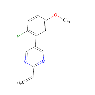 C=Cc1ncc(-c2cc(OC)ccc2F)cn1